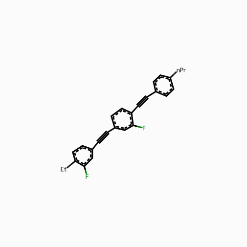 CCCc1ccc(C#Cc2ccc(C#Cc3ccc(CC)c(F)c3)cc2F)cc1